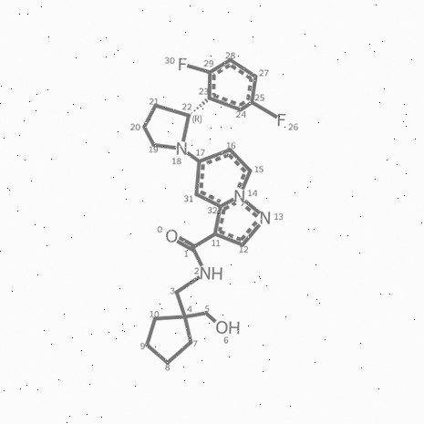 O=C(NCC1(CO)CCCC1)c1cnn2ccc(N3CCC[C@@H]3c3cc(F)ccc3F)cc12